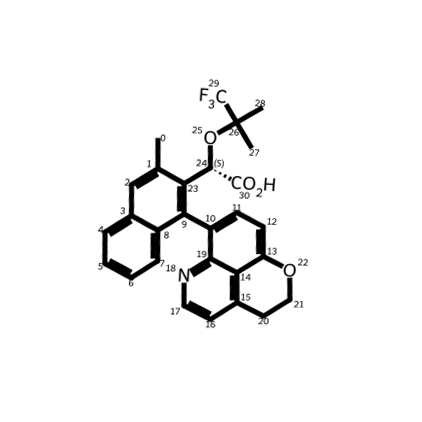 Cc1cc2ccccc2c(-c2ccc3c4c(ccnc24)CCO3)c1[C@H](OC(C)(C)C(F)(F)F)C(=O)O